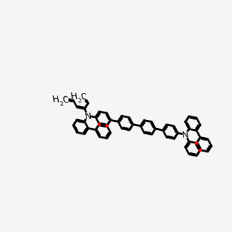 C=C/C=C(\C=C)N(c1ccc(-c2ccc(-c3ccc(-c4ccc(N(c5ccccc5)c5ccccc5-c5ccccc5)cc4)cc3)cc2)cc1)c1ccccc1-c1ccccc1